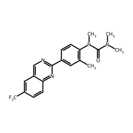 Cc1cc(-c2ncc3cc(C(F)(F)F)ccc3n2)ccc1N(C)C(=O)N(C)C